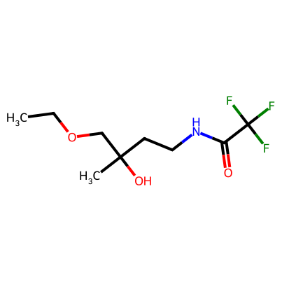 CCOCC(C)(O)CCNC(=O)C(F)(F)F